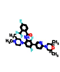 CC1CN(c2cc(F)c(-c3ccc(N4C[C@@H](C)O[C@@H](C)C4)nc3)c(F)c2NC(=O)c2ccc(F)cc2C(F)F)CCN1C